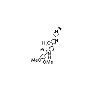 COc1ccc(-c2[nH]c3ccc(-c4cnc(N5CCN(C(C)C)CC5)cc4C)cc3c2C(C)C)cc1OC